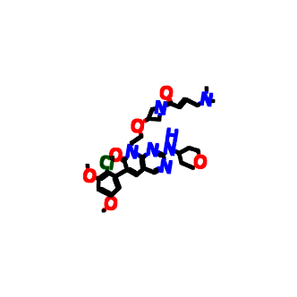 COc1cc(OC)c(Cl)c(-c2cc3cnc(NC4CCOCC4)nc3n(CCOC3CN(C(=O)/C=C/CN(C)C)C3)c2=O)c1